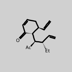 C=C[C@H](CC)[C@@H](C(C)=O)[C@@H]1C(=O)C=CC[C@H]1C=C